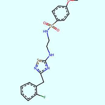 COc1ccc(S(=O)(=O)NCCNc2nc(Cc3ccccc3F)ns2)cc1